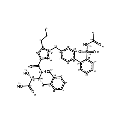 CCCc1cc(C(=O)N[C@H](Cc2ccccc2Cl)[C@@H](O)C(=O)O)nn1Cc1ccc(-c2ccccc2S(=O)(=O)NC(C)=O)cc1